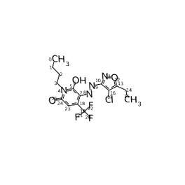 CCCCn1c(O)c(N=Nc2noc(CC)c2Cl)c(C(F)(F)F)cc1=O